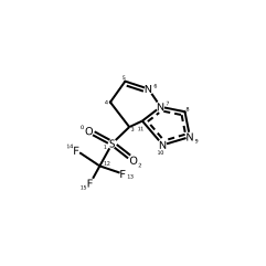 O=S(=O)(C1CC=Nn2cnnc21)C(F)(F)F